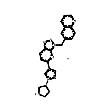 Cl.c1cnc2ccc(Cn3nnc4ccc(-c5cnn([C@H]6CCNC6)c5)nc43)cc2c1